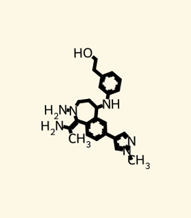 C/C(N)=C1\c2ccc(-c3cnn(C)c3)cc2C(Nc2cccc(CCO)c2)CCN1N